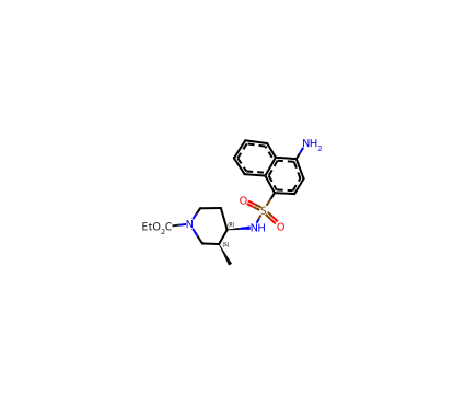 CCOC(=O)N1CC[C@@H](NS(=O)(=O)c2ccc(N)c3ccccc23)[C@@H](C)C1